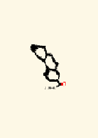 O=CC(=O)c1ccc2c(ccc3ccccc32)c1